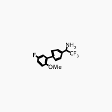 COc1ccc(F)cc1-c1ccc(C(N)C(F)(F)F)cc1